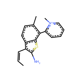 C/C=C\c1c(N)sc2c(-c3cccc[n+]3C)c(C)ccc12